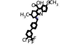 COc1ccc2nc3c(c(C(=O)O)c2c1)CC(C)C/C3=C\c1ccc(-c2ccc(Cl)c(C(F)(F)F)c2)cc1